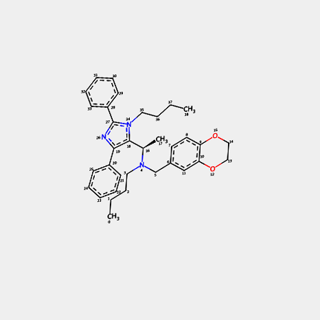 CCCCN(Cc1ccc2c(c1)OCCO2)[C@H](C)c1c(-c2ccccc2)nc(-c2ccccc2)n1CCCC